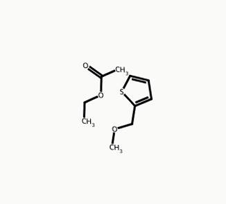 CCOC(C)=O.COCc1cccs1